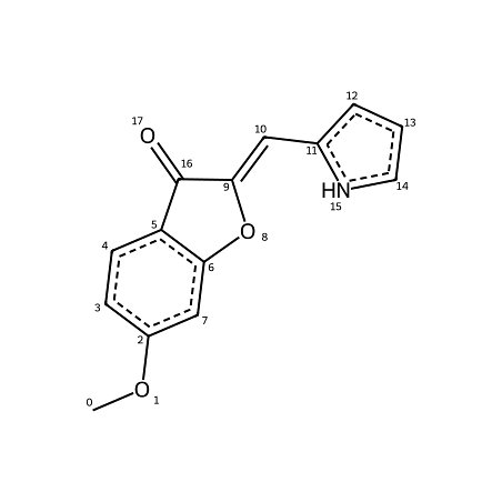 COc1ccc2c(c1)O/C(=C\c1ccc[nH]1)C2=O